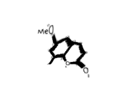 COc1cc(C)c2oc(=O)ccc2c1